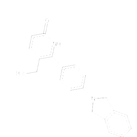 CCc1ccc(=O)[nH]c1-c1ccc(N2Cc3ccccc3C2)cc1